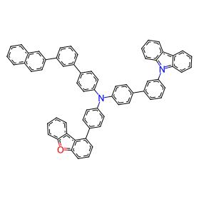 c1cc(-c2ccc(N(c3ccc(-c4cccc(-n5c6ccccc6c6ccccc65)c4)cc3)c3ccc(-c4cccc5oc6ccccc6c45)cc3)cc2)cc(-c2ccc3ccccc3c2)c1